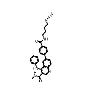 CNC(=O)c1cnc2ccc(-c3ccc(C(=O)NCCCCN=[N+]=[N-])cc3)cc2c1Nc1ccccc1